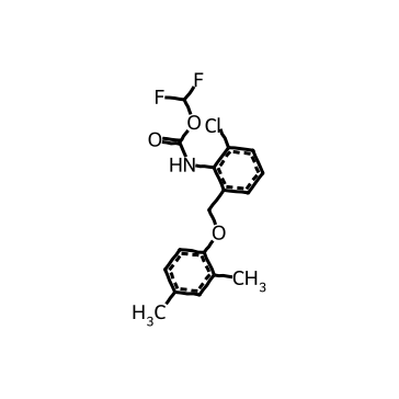 Cc1ccc(OCc2cccc(Cl)c2NC(=O)OC(F)F)c(C)c1